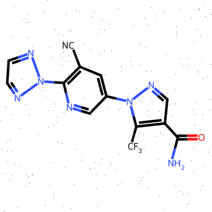 N#Cc1cc(-n2ncc(C(N)=O)c2C(F)(F)F)cnc1-n1nccn1